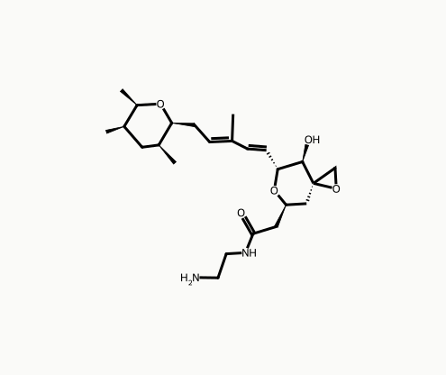 CC(/C=C/[C@H]1O[C@H](CC(=O)NCCN)C[C@@]2(CO2)[C@@H]1O)=C\C[C@@H]1O[C@H](C)[C@H](C)C[C@@H]1C